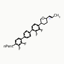 C/C=C/C1CCC(c2ccc(-c3ccc(-c4ccc(CCCCC)c(F)c4F)cc3)c(F)c2F)CO1